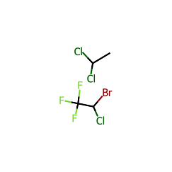 CC(Cl)Cl.FC(F)(F)C(Cl)Br